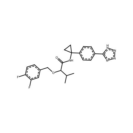 CC(C)C(OCc1ccc(F)c(F)c1)C(=O)NC1(c2ccc(-c3nnn[nH]3)cc2)CC1